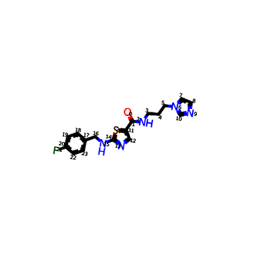 O=C(NCCCn1ccnc1)c1cnc(NCc2ccc(F)cc2)s1